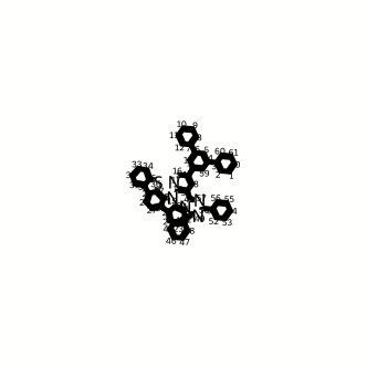 c1ccc(-c2cc(-c3ccccc3)cc(-c3cnc(-n4c5ccccc5c5ccc6c7ccccc7sc6c54)c(-c4nc(-c5ccccc5)nc(-c5ccccc5)n4)c3)c2)cc1